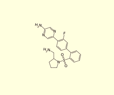 NCC1CCCN1S(=O)(=O)c1ccccc1-c1ccc(-c2cnc(N)cn2)c(F)c1